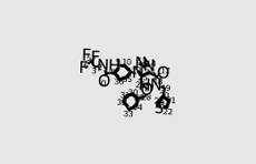 O=C(NCC(F)(F)F)c1ccc(-n2nnc(C(=O)NCc3ccsc3)c2COCc2ccccc2)cc1